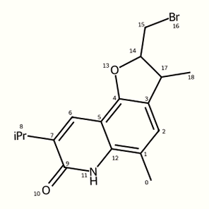 Cc1cc2c(c3cc(C(C)C)c(=O)[nH]c13)OC(CBr)C2C